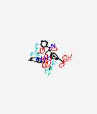 O=C(O)c1ccc(NC(=O)C2C3CCC2C(OCc2c(-c4ccccc4OC(F)(F)F)noc2C2CC2)C3)c(OC(F)(F)F)c1